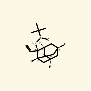 C=C[C@]1(N[S+]([O-])C(C)(C)C)[C@@H]2C[C@@H]3C[C@H]1C[C@@](F)(C3)C2